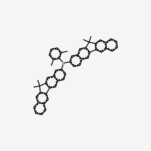 Cc1cccc(C)c1N(c1ccc2cc3c(cc2c1)C(C)(C)c1cc2ccccc2cc1-3)c1ccc2cc3c(cc2c1)C(C)(C)c1cc2ccccc2cc1-3